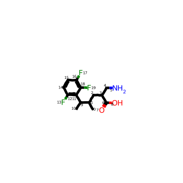 CC(CC(CN)C(=O)O)C(C)c1c(F)ccc(F)c1F